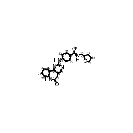 O=C1Cc2cnc(Nc3ccc(C(=O)NCC4CCCO4)cc3)nc2-c2ccccc2N1